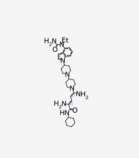 CCN(C(N)=O)c1cccc2c1ccn2C1CCN(C2CCN(/C(N)=C/C=C(\N)C(=O)NC3CCCCC3)CC2)CC1